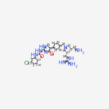 Cc1cc(Cl)cc(NC(=O)Nc2nc(=O)c(-c3ccc(CN(CCCN)CCCNC(=N)N)cc3)c[nH]2)c1